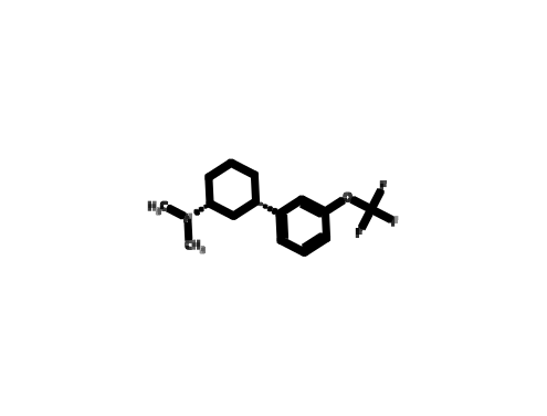 CN(C)[C@@H]1CCC[C@H](c2cccc(OC(F)(F)F)c2)C1